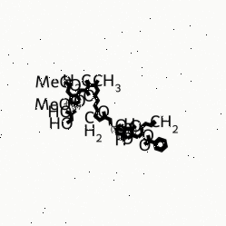 C=CCC1O[C@@H]2C3O[C@@H]4C[C@](CCC5CC(=C)C(CCC6CC(C)C(=C)C(CC7O[C@H](CC(O)CO)[C@H](OC)C7CC(=O)OC)O6)O5)(OC3C1OC(=O)c1ccccc1)OC24